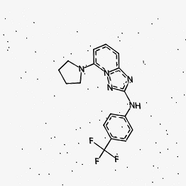 FC(F)(F)c1ccc(Nc2nc3cccc(N4CCCC4)n3n2)cc1